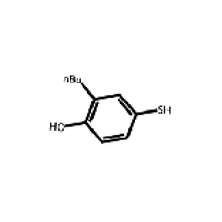 CCCCc1cc(S)ccc1O